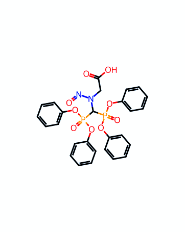 O=NN(CC(=O)O)C(P(=O)(Oc1ccccc1)Oc1ccccc1)P(=O)(Oc1ccccc1)Oc1ccccc1